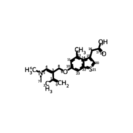 C=C(C)/C(=C\N(C)I)COc1cc(C)c2c(CC(=O)O)csc2c1